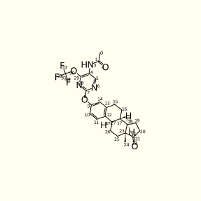 CC(=O)Nc1cnc(Oc2ccc3c(c2)CC[C@@H]2[C@H]4CCC(=O)[C@]4(C)CC[C@@H]32)nc1OC(F)(F)F